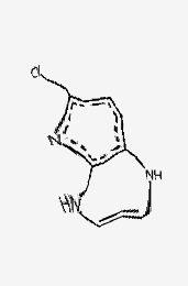 Clc1ccc2c(n1)NC=CN2